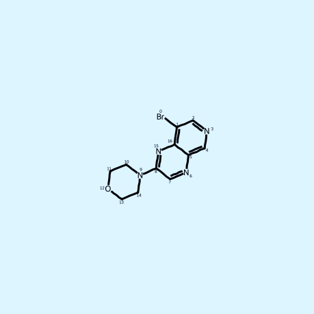 Brc1cncc2ncc(N3CCOCC3)nc12